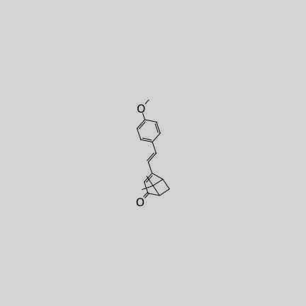 COc1ccc(C=CC2=CC(=O)C3CC2C3(C)C)cc1